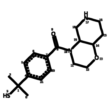 CC(C)(S)c1ccc(C(=O)N2CCOC3CCNCC32)cc1